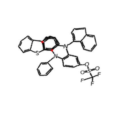 O=S(=O)(Oc1ccc(N(c2ccccc2)c2ccccc2)c(N(c2ccc3c(c2)sc2ccccc23)c2cccc3ccccc23)c1)C(F)(F)F